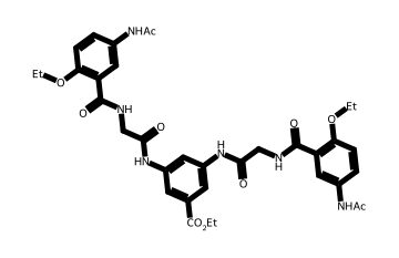 CCOC(=O)c1cc(NC(=O)CNC(=O)c2cc(NC(C)=O)ccc2OCC)cc(NC(=O)CNC(=O)c2cc(NC(C)=O)ccc2OCC)c1